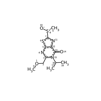 COCc1nc2sc([S+](C)[O-])nc2c(=O)n1C(C)C